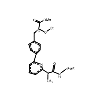 CCCCCNC(=O)N(C)c1cccc(-c2ccc(C[C@H](OCC)C(=O)OC)cc2)n1